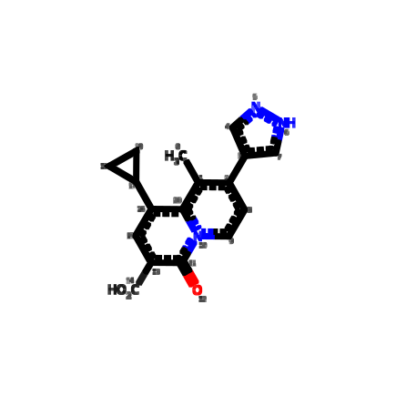 Cc1c(-c2cn[nH]c2)ccn2c(=O)c(C(=O)O)cc(C3CC3)c12